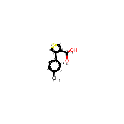 Cc1ccc(-c2cscc2C(=O)O)cc1